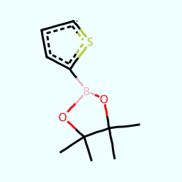 CC1(C)OB(c2cc[c]s2)OC1(C)C